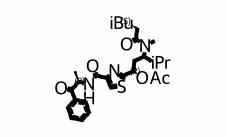 CC[C@H](C)CC(=O)N(C)C(C[C@@H](OC(C)=O)c1nc(C(=O)N[C@H](C)C(=O)c2ccccc2)cs1)C(C)C